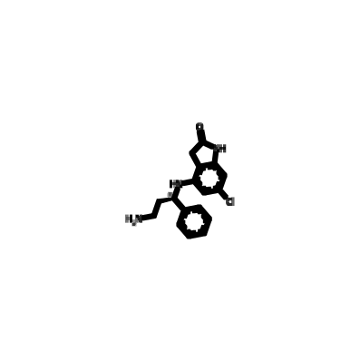 NCC[C@@H](Nc1cc(Cl)cc2c1CC(=O)N2)c1ccccc1